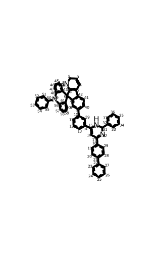 C1=CC2=C(NC1)C1(c3cc(-c4cccc(C5=CC(c6ccc(-c7ccccc7)cc6)=NC(c6ccccc6)N5)c4)ccc32)c2ccccc2N(c2ccccc2)c2ccccc21